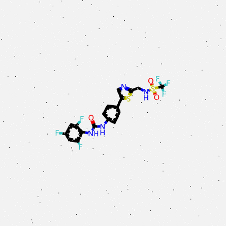 O=C(Nc1ccc(-c2cnc(CNS(=O)(=O)C(F)(F)F)s2)cc1)Nc1c(F)cc(F)cc1F